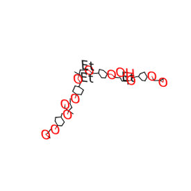 CCC(C)(CC(O)COC1CCC(COC(C)(CC)CC(C)(CC)OCC2CCC(OCC3CC(C)(OCC4CCC(OCC5CO5)CC4)CO3)CC2)CC1)OCC1CCC(OCC2CO2)CC1